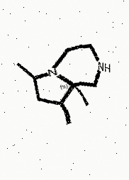 CC1CC(C)[C@@]2(C)CNCCN12